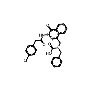 O=C(Cc1ccc(Cl)cc1)Nn1nc(CN(Cc2ccccc2)C(=O)O)c2ccccc2c1=O